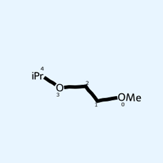 COCCOC(C)C